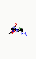 CCCCS(=O)(=O)Nc1cccc2c1c(C(=O)N1CCC(c3cc(CN)ccc3F)CC1)cn2CCOC